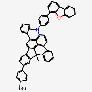 CC(C)(C)c1ccc(-c2ccc3c(c2)C(C)(C)c2ccc(-c4ccccc4N(c4ccc(-c5ccccc5)cc4)c4ccc(-c5cccc6c5oc5ccccc56)cc4)cc2-3)cc1